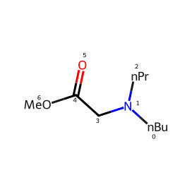 CCCCN(CCC)CC(=O)OC